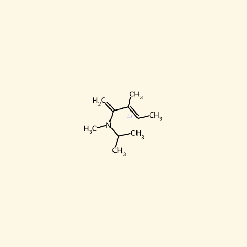 C=C(/C(C)=C/C)N(C)C(C)C